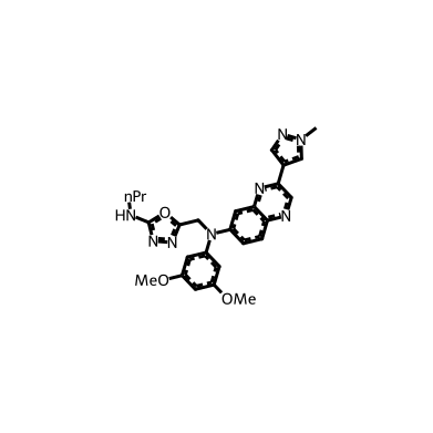 CCCNc1nnc(CN(c2cc(OC)cc(OC)c2)c2ccc3ncc(-c4cnn(C)c4)nc3c2)o1